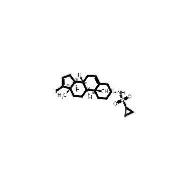 C[C@]12CC[C@@H](NS(=O)(=O)C3CC3)CC1=CC[C@@H]1[C@@H]2CC[C@]2(C)C(I)=CC[C@@H]12